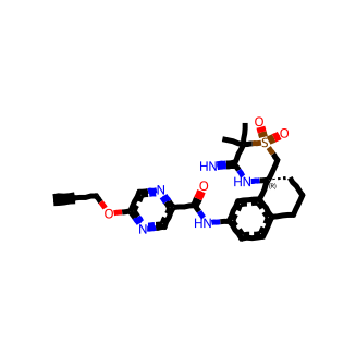 C#CCOc1cnc(C(=O)Nc2ccc3c(c2)[C@]2(CCC3)CS(=O)(=O)C(C)(C)C(=N)N2)cn1